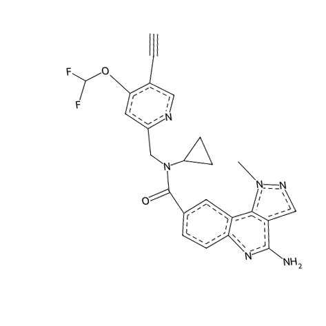 C#Cc1cnc(CN(C(=O)c2ccc3nc(N)c4cnn(C)c4c3c2)C2CC2)cc1OC(F)F